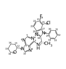 C[C@H](Nc1ncnc2c1ncn2C1CCCCO1)c1nc2ccc(F)c(Cl)c2n1-c1ccccc1